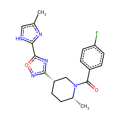 Cc1c[nH]c(-c2nc([C@H]3CC[C@@H](C)N(C(=O)c4ccc(F)cc4)C3)no2)n1